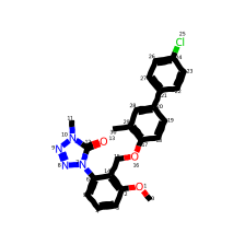 COc1cccc(-n2nnn(C)c2=O)c1COc1ccc(-c2ccc(Cl)cc2)cc1C